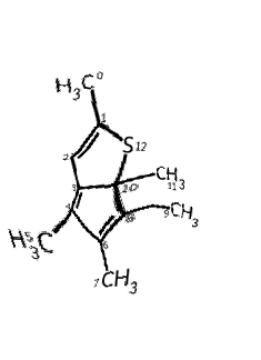 CC1=[C]C2=C(C)C(C)=C(C)C2(C)S1